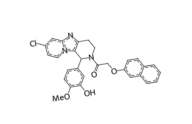 COc1ccc(C2c3c(nc4cc(Cl)ccn34)CCN2C(=O)COc2ccc3ccccc3c2)cc1O